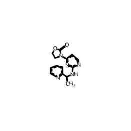 CC(Nc1nccc(N2CCOC2=O)n1)c1ccccn1